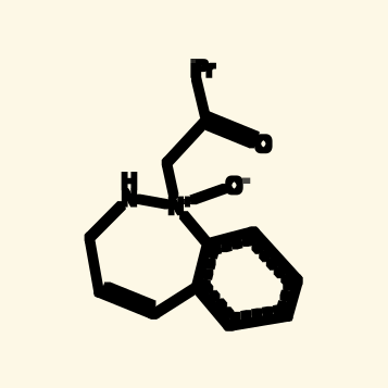 CC(C)C(=O)C[N+]1([O-])NCC=Cc2ccccc21